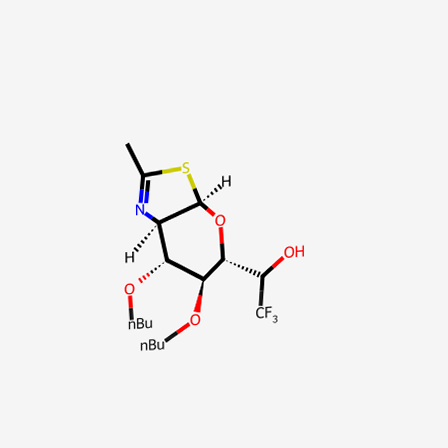 CCCCO[C@@H]1[C@H]2N=C(C)S[C@H]2O[C@H](C(O)C(F)(F)F)[C@H]1OCCCC